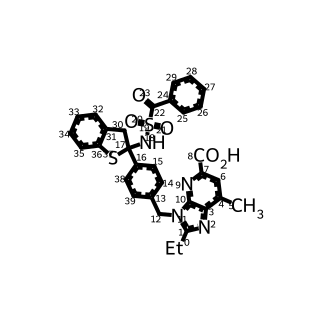 CCc1nc2c(C)cc(C(=O)O)nc2n1Cc1ccc(C2(NS(=O)(=O)C(=O)c3ccccc3)Cc3ccccc3S2)cc1